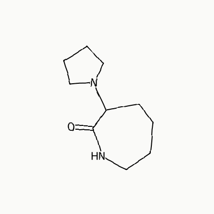 O=C1NCCCCC1N1CCCC1